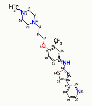 CN1CCN(CCCOc2ccc(Nc3nc(-c4cccnc4)cs3)cc2C(F)(F)F)CC1